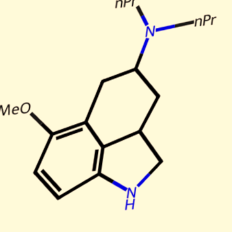 CCCN(CCC)C1Cc2c(OC)ccc3c2C(CN3)C1